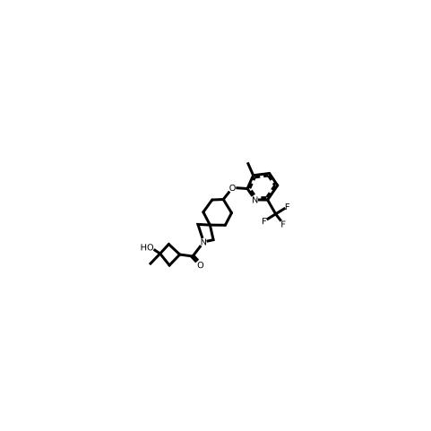 Cc1ccc(C(F)(F)F)nc1OC1CCC2(CC1)CN(C(=O)C1CC(C)(O)C1)C2